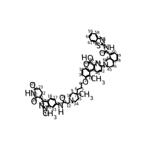 Cc1c(OCCCC2(C)CCN(CC(=O)Nc3ccc4c(C5CCC(=O)NC5=O)nn(C)c4c3)CC2)cccc1-c1ccc(N2CCc3cccc(C(=O)Nc4nc5ccccc5s4)c3C2)nc1C(=O)O